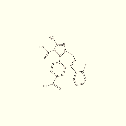 CC(=O)c1ccc2c(c1)C(c1ccccc1F)=NCc1nc(C)c(C(=O)O)n1-2